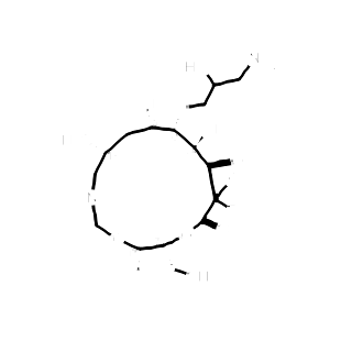 CC[C@H]1OC(=O)C(C)(F)C(=O)[C@H](C)[C@@H](OCC(O)CN)[C@@H](C)C[C@@H](C)CNCC[C@H]1C